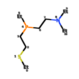 CCSCCP(CC)CCN(CC)CC